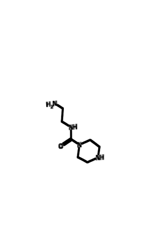 NCCNC(=O)N1CCNCC1